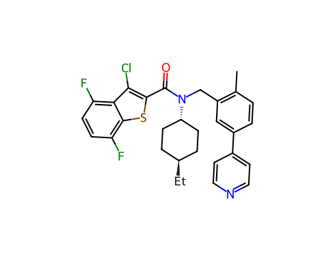 CC[C@H]1CC[C@H](N(Cc2cc(-c3ccncc3)ccc2C)C(=O)c2sc3c(F)ccc(F)c3c2Cl)CC1